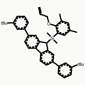 C=CCOc1c(C)cc(C)cc1[Si](C)(C)C1c2cc(-c3cccc(C(C)(C)C)c3)ccc2-c2ccc(-c3cccc(C(C)(C)C)c3)cc21